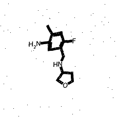 Cc1cc(F)c(CNC2CCOC2)cc1N